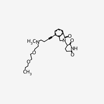 CCCOCCOCCN(C)CCC#Cc1cccc2c1CN(C1CCC(=O)NC1=O)C2=O